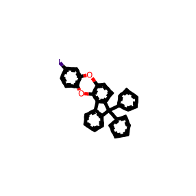 Ic1ccc2c(c1)Oc1ccc3c(c1O2)-c1ccccc1C3(c1ccccc1)c1ccccc1